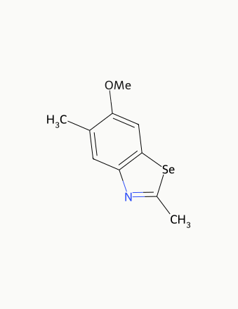 COc1cc2[se]c(C)nc2cc1C